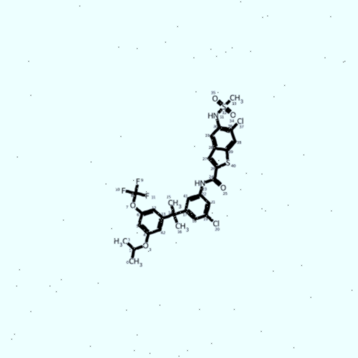 CC(C)Oc1cc(OC(F)(F)F)cc(C(C)(C)c2cc(Cl)cc(NC(=O)c3cc4cc(NS(C)(=O)=O)c(Cl)cc4s3)c2)c1